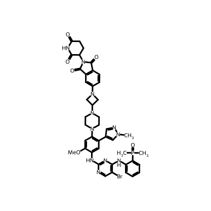 COc1cc(N2CCN(C3CN(c4ccc5c(c4)C(=O)N(C4CCC(=O)NC4=O)C5=O)C3)CC2)c(-c2cnn(C)c2)cc1Nc1ncc(Br)c(Nc2ccccc2P(C)(C)=O)n1